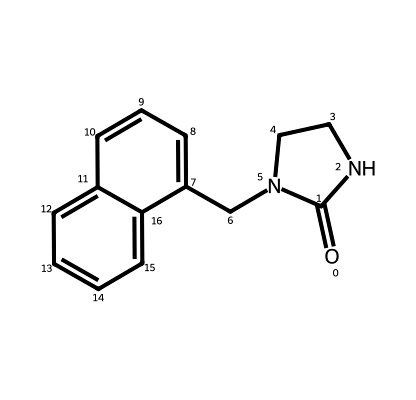 O=C1NCCN1Cc1cccc2ccccc12